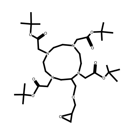 CC(C)(C)OC(=O)CN1CCN(CC(=O)OC(C)(C)C)CCN(CC(=O)OC(C)(C)C)C(COCC2CO2)CN(CC(=O)OC(C)(C)C)CC1